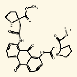 COC(=O)[C@@]1(CC(=O)Nc2cccc3c2C(=O)c2c(NC(=O)C[C@]4(C(=O)OC)CCCN4)cccc2C3=O)CCCN1